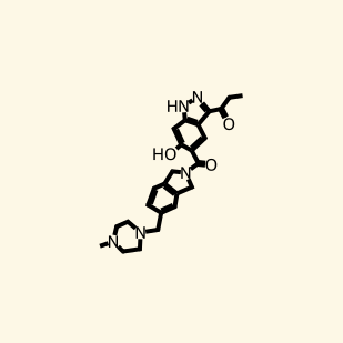 CCC(=O)c1n[nH]c2cc(O)c(C(=O)N3Cc4ccc(CN5CCN(C)CC5)cc4C3)cc12